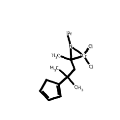 CC(C)[N]1[C](C)(CC(C)(C)C2=CC=CC2)[Cr]1([Cl])[Cl]